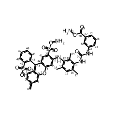 C=c1ccc2c(c1)Oc1cc(Nc3c(C)cc(C)c(NC(=O)Nc4cccc(C(=O)ON)c4)c3C)c(S(=O)(=O)ON)cc1C=2c1ccccc1S(=O)(=O)O